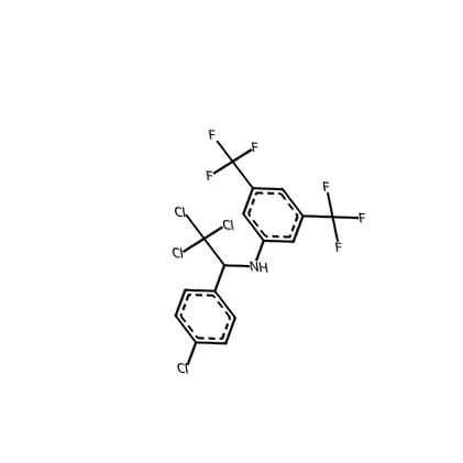 FC(F)(F)c1cc(NC(c2ccc(Cl)cc2)C(Cl)(Cl)Cl)cc(C(F)(F)F)c1